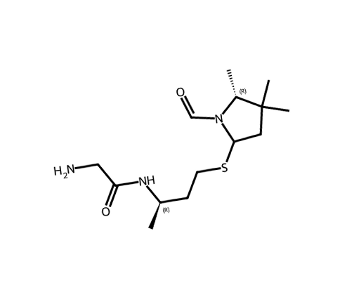 C[C@H](CCSC1CC(C)(C)[C@@H](C)N1C=O)NC(=O)CN